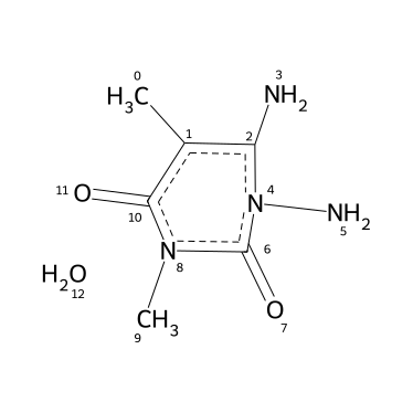 Cc1c(N)n(N)c(=O)n(C)c1=O.O